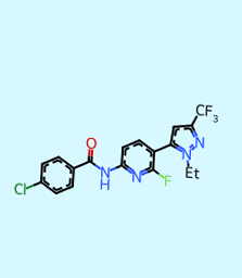 CCn1nc(C(F)(F)F)cc1-c1ccc(NC(=O)c2ccc(Cl)cc2)nc1F